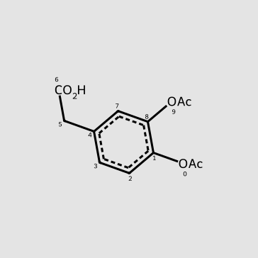 CC(=O)Oc1ccc(CC(=O)O)cc1OC(C)=O